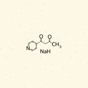 CC(=O)CC(=O)c1ccncc1.[NaH]